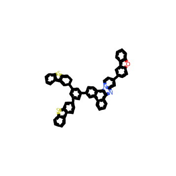 C1=c2sc3ccccc3c2=CC(c2cc(-c3ccc4c(c3)sc3ccccc34)cc(-c3ccc4c(c3)c3ccccc3c3nc5cc(-c6ccc7oc8ccccc8c7c6)ccn5c43)c2)C1